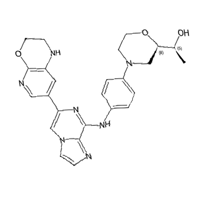 C[C@H](O)[C@H]1CN(c2ccc(Nc3nc(-c4cnc5c(c4)NCCO5)cn4ccnc34)cc2)CCO1